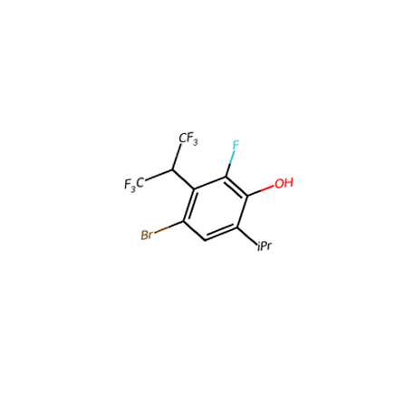 CC(C)c1cc(Br)c(C(C(F)(F)F)C(F)(F)F)c(F)c1O